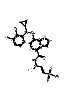 C[C@H](/C=C/S(C)(=O)=O)NC(=O)c1ncc(N[C@@H](c2cccc(F)c2Cl)C2CC2)c2nncn12